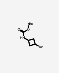 CC(=O)C1CC(NC(=O)OC(C)(C)C)C1